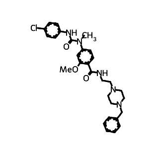 COc1cc(N(C)C(=O)Nc2ccc(Cl)cc2)ccc1C(=O)NCCN1CCN(Cc2ccccc2)CC1